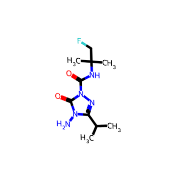 CC(C)c1nn(C(=O)NC(C)(C)CF)c(=O)n1N